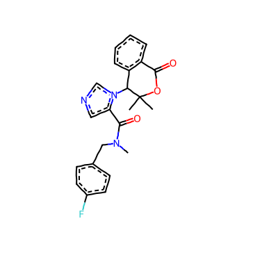 CN(Cc1ccc(F)cc1)C(=O)c1cncn1C1c2ccccc2C(=O)OC1(C)C